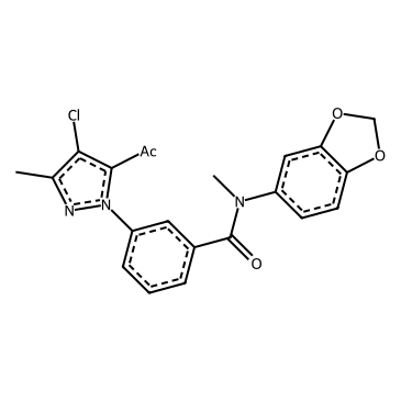 CC(=O)c1c(Cl)c(C)nn1-c1cccc(C(=O)N(C)c2ccc3c(c2)OCO3)c1